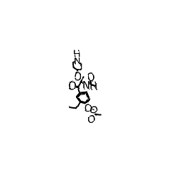 CCc1cc(C(=O)C(C)(NC(C)=O)OC2CCNCC2)ccc1OOC(C)=O